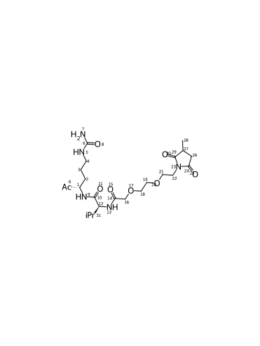 CC(=O)[C@H](CCCNC(N)=O)NC(=O)[C@@H](NC(=O)COCCOCCN1C(=O)CC(C)C1=O)C(C)C